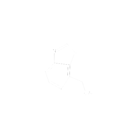 CC(=O)OCc1cccc2ncsc12